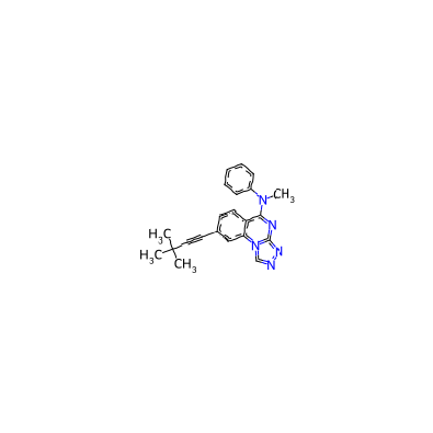 CN(c1ccccc1)c1nc2nncn2c2cc(C#CC(C)(C)C)ccc12